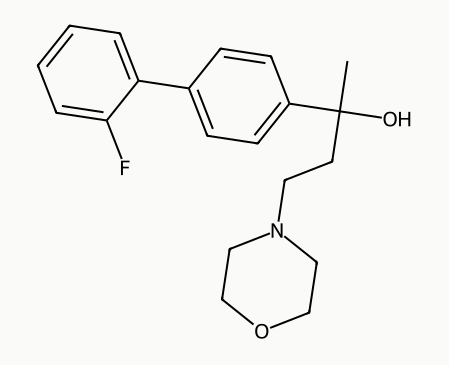 CC(O)(CCN1CCOCC1)c1ccc(-c2ccccc2F)cc1